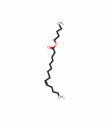 CCCC/C=C\CCCCCCCC(=O)OCCCCC